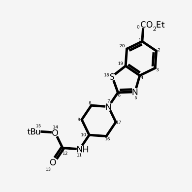 CCOC(=O)c1ccc2nc(N3CCC(NC(=O)OC(C)(C)C)CC3)sc2c1